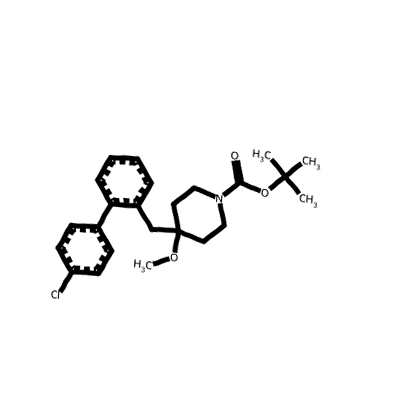 COC1(Cc2ccccc2-c2ccc(Cl)cc2)CCN(C(=O)OC(C)(C)C)CC1